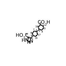 O=C(O)c1cccc(-c2ccc(-c3nn[nH]c3C(=O)O)cc2)c1